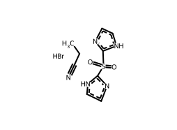 Br.CCC#N.O=S(=O)(c1ncc[nH]1)c1ncc[nH]1